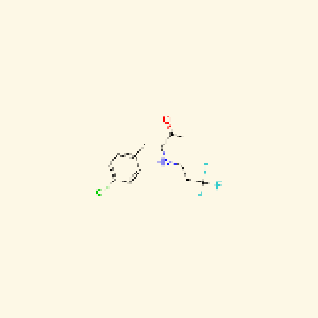 CC(=O)[C@@H](Cc1ccc(Cl)cc1)NCCC(F)(F)F